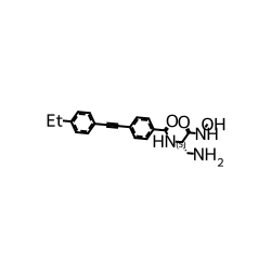 CCc1ccc(C#Cc2ccc(C(=O)N[C@@H](CN)C(=O)NO)cc2)cc1